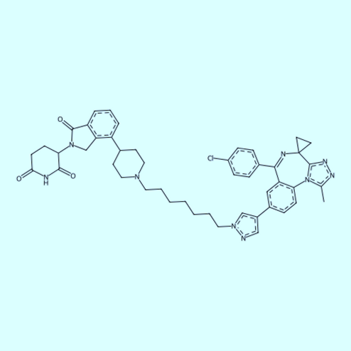 Cc1nnc2n1-c1ccc(-c3cnn(CCCCCCCN4CCC(c5cccc6c5CN(C5CCC(=O)NC5=O)C6=O)CC4)c3)cc1C(c1ccc(Cl)cc1)=NC21CC1